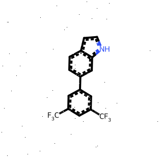 FC(F)(F)c1cc(-c2ccc3cc[nH]c3c2)cc(C(F)(F)F)c1